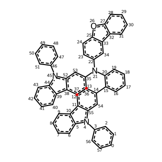 c1ccc(-n2c3ccccc3c3ccc(-c4ccccc4N(c4ccc5oc6ccccc6c5c4)c4ccc5c6ccccc6n(-c6ccccc6)c5c4)cc32)cc1